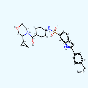 COCc1ccc(-c2cc3ccc(S(=O)(=O)NC4CCC(C(=O)N5CCOC[C@@H]5C5CC5)CC4)cc3[nH]2)cc1